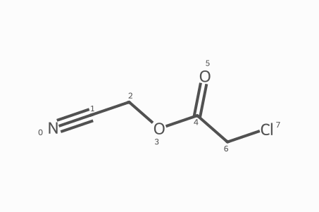 N#CCOC(=O)CCl